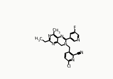 CCc1nc(C)c2c(n1)CN(Cc1ccc(Cl)nc1C#N)C(c1cncc(F)c1)=N2